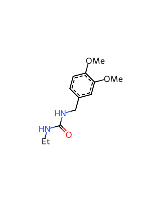 CCNC(=O)NCc1ccc(OC)c(OC)c1